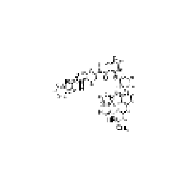 C[C@@H]1CN(Cc2ccc(-c3cccc(Oc4ncc(F)cc4C(=O)N[C@H]4CC[C@H](NC(=O)c5cc6n(n5)CCCC6)CC4)c3)c(CN3CCSCC3)c2)C[C@H](C)N1